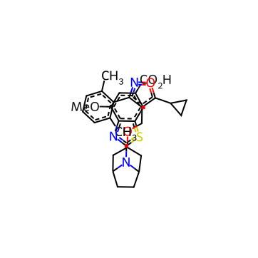 COc1cc(C(=O)O)cc2sc(N3C4CCC3CC(OCc3c(-c5c(C)cccc5C)noc3C3CC3)C4)nc12